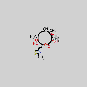 Cc1nc(C=C[C@@H]2C[C@]3(O)O[C@]3(C)CCC[C@H](C)C[C@@H](C)C(=O)C(C)(C)[C@@H](O)CC(=O)O2)cs1